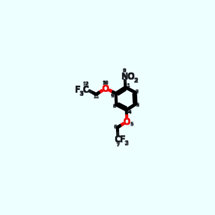 O=[N+]([O-])c1ccc(OCC(F)(F)F)cc1OCC(F)(F)F